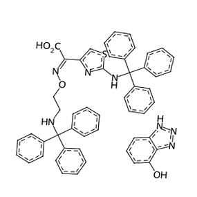 O=C(O)C(=NOCCNC(c1ccccc1)(c1ccccc1)c1ccccc1)c1csc(NC(c2ccccc2)(c2ccccc2)c2ccccc2)n1.Oc1cccc2[nH]nnc12